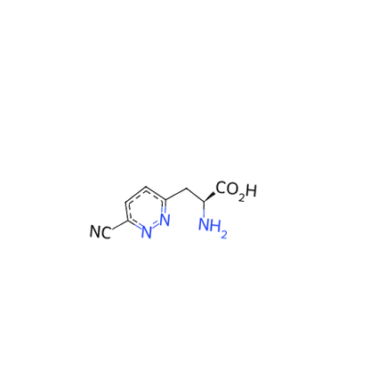 N#Cc1ccc(C[C@H](N)C(=O)O)nn1